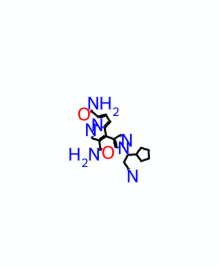 N#CCC(C1CCCC1)n1cc(-c2c(C(N)=O)cnn3c(C(N)=O)ccc23)cn1